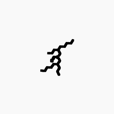 CCCCCC(CCC)CN(C=O)CC(CCC)CCCCC